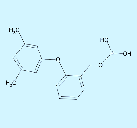 Cc1cc(C)cc(Oc2ccccc2COB(O)O)c1